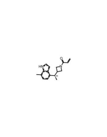 C=CC(=O)N1CC([C@@H](C)c2ccc(C)c3[nH]ccc23)C1